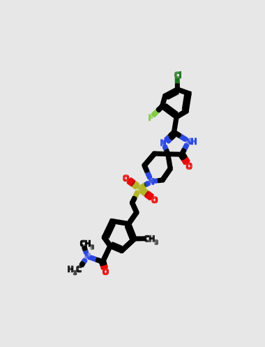 Cc1cc(C(=O)N(C)C)ccc1CCS(=O)(=O)N1CCC2(CC1)N=C(c1ccc(Cl)cc1F)NC2=O